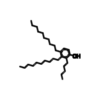 CCCCCCCCCCc1ccc(O)c(CCCCC)c1CCCCCCCCCC